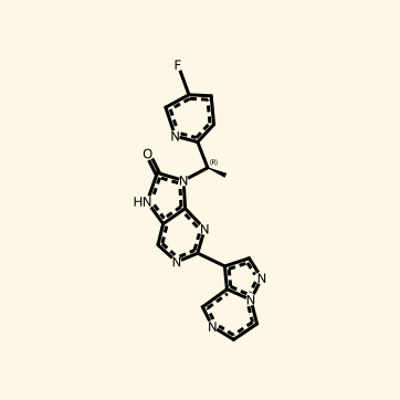 C[C@H](c1ccc(F)cn1)n1c(=O)[nH]c2cnc(-c3cnn4ccncc34)nc21